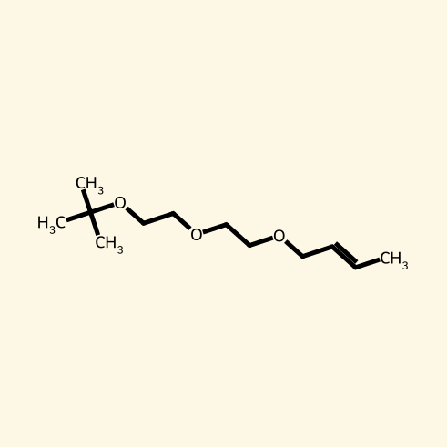 C/C=C/COCCOCCOC(C)(C)C